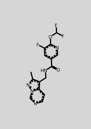 Cc1nn2cnccc2c1CNC(=O)c1cnc(OC(F)F)c(F)c1